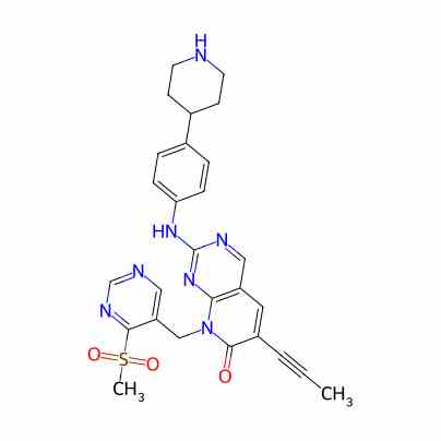 CC#Cc1cc2cnc(Nc3ccc(C4CCNCC4)cc3)nc2n(Cc2cncnc2S(C)(=O)=O)c1=O